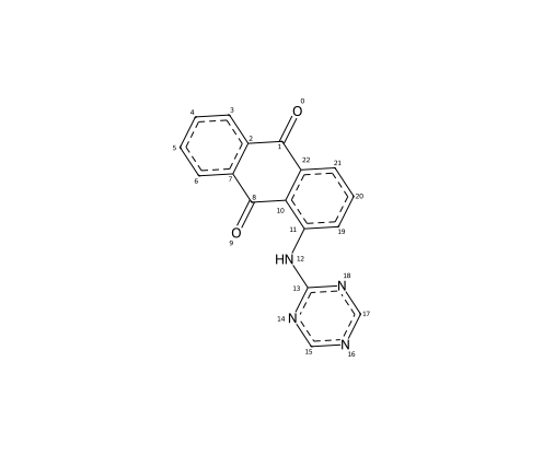 O=C1c2ccccc2C(=O)c2c(Nc3ncncn3)cccc21